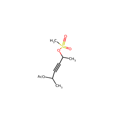 CC(=O)OC(C)C#CC(C)OS(C)(=O)=O